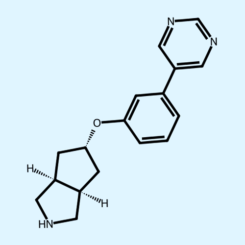 c1cc(O[C@@H]2C[C@H]3CNC[C@H]3C2)cc(-c2cncnc2)c1